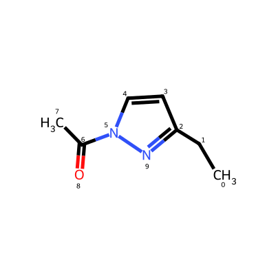 CCc1ccn(C(C)=O)n1